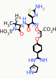 CC1(C)[C@H](NC(=O)/C(=N\O[C@@H](COc2ccc(C(=N)N[C@@H]3CCNC3)cc2)C(=O)O)c2csc(N)n2)C(=O)N1S(=O)(=O)O